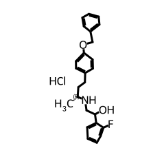 C[C@H](CCc1ccc(OCc2ccccc2)cc1)NCC(O)c1ccccc1F.Cl